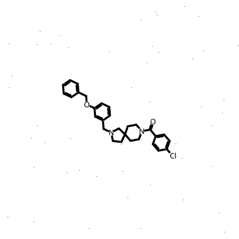 O=C(c1ccc(Cl)cc1)N1CCC2(CCN(Cc3cccc(OCc4ccccc4)c3)C2)CC1